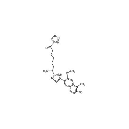 COc1cc2c(ccc(=O)n2C)cc1-c1cnc(C(N)CCCCCC(=O)c2ccon2)[nH]1